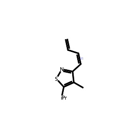 C=C/C=C\c1nsc(C(C)C)c1C